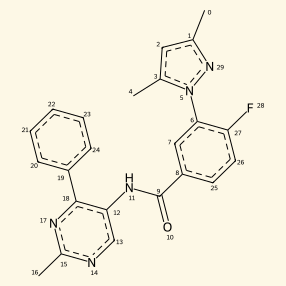 Cc1cc(C)n(-c2cc(C(=O)Nc3cnc(C)nc3-c3ccccc3)ccc2F)n1